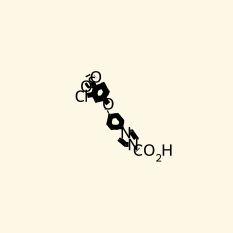 CS(=O)(=O)c1ccc(OC[C@H]2CC[C@H](N3CCN(C(=O)O)CC3)CC2)cc1Cl